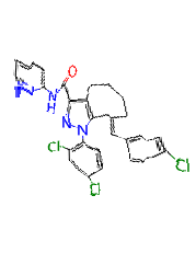 O=C(Nc1ccccn1)c1nn(-c2ccc(Cl)cc2Cl)c2c1CCCC/C2=C\c1ccc(Cl)cc1